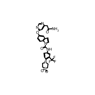 NC(=O)Cc1cc(Oc2ccc3c(ccn3C(=O)Nc3ccc(N4CCS(=O)(=O)CC4)c(C(F)(F)F)c3)c2)ncn1